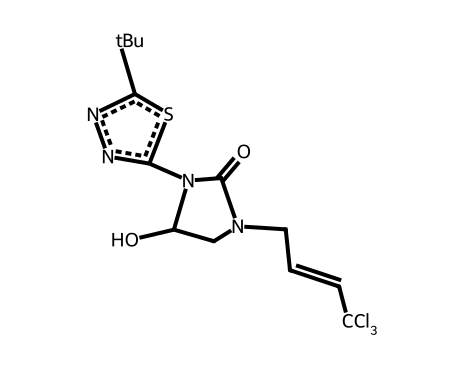 CC(C)(C)c1nnc(N2C(=O)N(CC=CC(Cl)(Cl)Cl)CC2O)s1